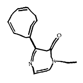 Cn1ccnc(-c2ccccc2)c1=O